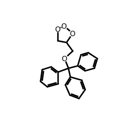 c1ccc(C(OCC2COOO2)(c2ccccc2)c2ccccc2)cc1